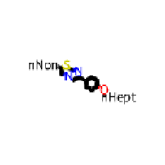 CCCCCCCCCc1cn2cc(-c3ccc(OCCCCCCC)cc3)nc2s1